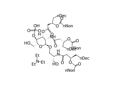 CCCCCCCCCCC[C@H](CC(=O)N[C@H](CO)CO[C@H]1O[C@H](CO)[C@@H](OP(=O)(O)O)[C@H](OC(=O)C[C@@H](CCCCCCCCCCC)OC(=O)CCCCCCCCC)[C@@H]1NC(=O)C[C@@H](CCCCCCCCCCC)OC(=O)CCCCCCCCC)OC(=O)CCCCCCCCC.CCN(CC)CC